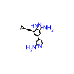 Nc1cc(-c2cc(C#CC3CC3)c3[nH]nc(N)c3c2)ccn1